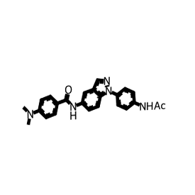 CC(=O)Nc1ccc(-n2ncc3cc(NC(=O)c4ccc(N(C)C)cc4)ccc32)cc1